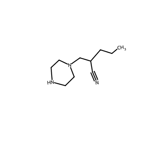 CCCC(C#N)CN1CCNCC1